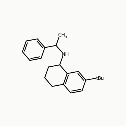 CC(NC1CCCc2ccc(C(C)(C)C)cc21)c1ccccc1